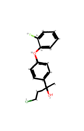 CC(O)(CCCl)c1ccc(Oc2ccccc2F)cc1